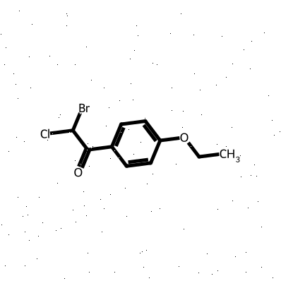 CCOc1ccc(C(=O)C(Cl)Br)cc1